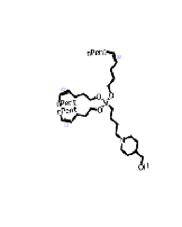 CCCCC/C=C\CCCO[Si](CCCCN1CCC(CO)CC1)(OCCC/C=C\CCCCC)OCCC/C=C\CCCCC